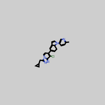 Cc1ccc(N2C=CC3=CC(c4ccn5c(CC6CC6)nnc5c4Cl)=CCC32)cn1